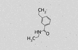 [CH2]Cc1cccc(C(=O)NCC)c1